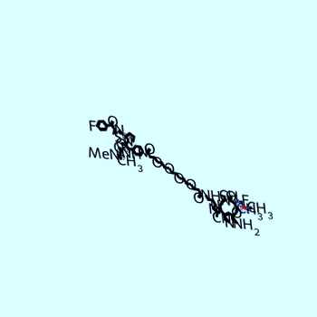 C/C=C\C(F)=C/C1C(=O)N(C)Cc2c(c(C#N)nn2CCNC(=O)CCOCCOCCOCCOCCC(=O)N2CCC([C@H](NC(=O)[C@H](C)NC)C(=O)N3CCC[C@H]3C3=NC(C(=O)c4ccc(F)cc4)CS3)CC2)-c2cnc(N)c(c2)O[C@@H]1C